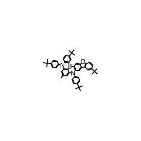 Cc1cc2c3c(c1)N(c1ccc(C(C)(C)C)cc1)c1cc4c(cc1B3c1cc(C(C)(C)C)ccc1N2c1ccc(C(C)(C)C)cc1)oc1ccc(C(C)(C)C)cc14